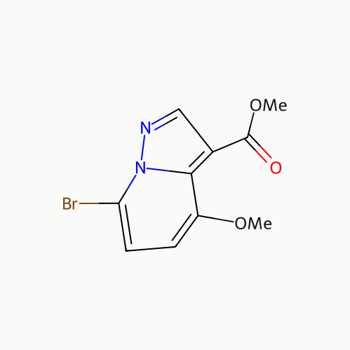 COC(=O)c1cnn2c(Br)ccc(OC)c12